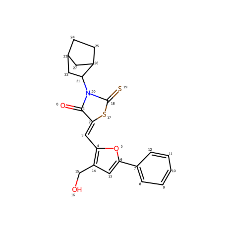 O=C1C(=Cc2oc(-c3ccccc3)cc2CO)SC(=S)N1C1CC2CCC1C2